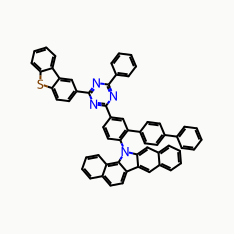 c1ccc(-c2ccc(-c3cc(-c4nc(-c5ccccc5)nc(-c5ccc6sc7ccccc7c6c5)n4)ccc3-n3c4cc5ccccc5cc4c4ccc5ccccc5c43)cc2)cc1